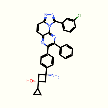 N[C@]1(c2ccc(-c3nc4ccc5nnc(-c6cccc(Cl)c6)n5c4nc3-c3ccccc3)cc2)C[C@](O)(C2CC2)C1